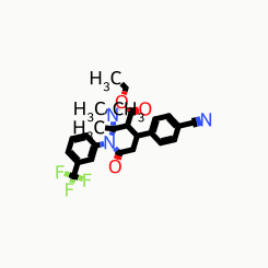 CCOC(=O)C1C(c2ccc(C#N)cc2)CC(=O)N(c2cccc(C(F)(F)F)c2)C1(C)N(C)C